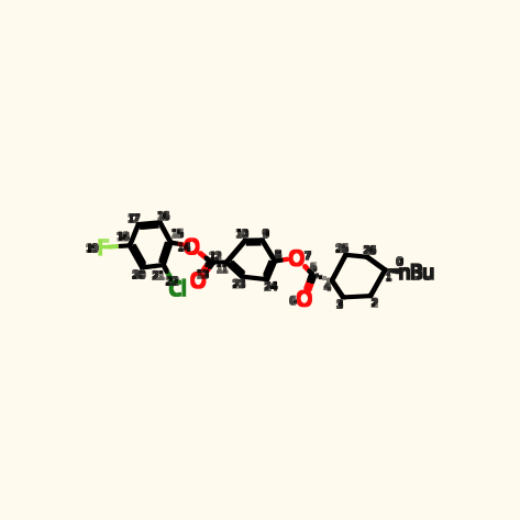 CCCC[C@H]1CC[C@H](C(=O)Oc2ccc(C(=O)Oc3ccc(F)cc3Cl)cc2)CC1